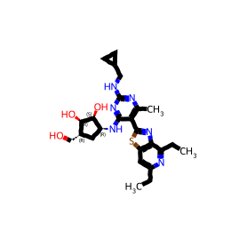 CCc1cc2sc(-c3c(C)nc(NCC4CC4)nc3N[C@@H]3C[C@H](CO)[C@@H](O)[C@H]3O)nc2c(CC)n1